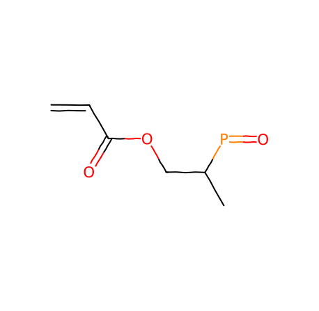 C=CC(=O)OCC(C)P=O